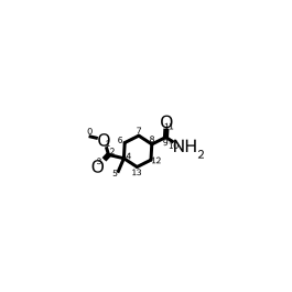 COC(=O)C1(C)CCC(C(N)=O)CC1